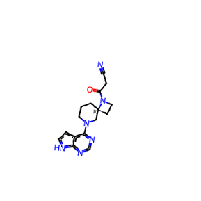 N#CCC(=O)N1CC[C@@]12CCCN(c1ncnc3[nH]ccc13)C2